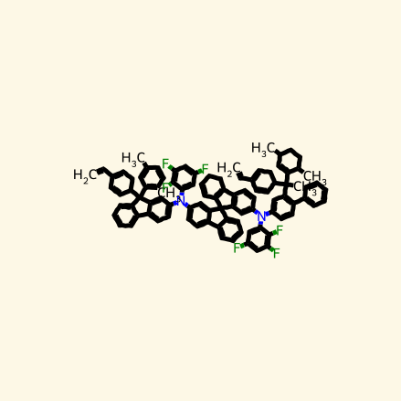 C=CC1=CCC(C(C)(C2=CC(C)CCC2C)c2cc(N(c3ccc4c(c3)C3(C5=C4CCC=C5)c4ccccc4-c4ccc(N(c5ccc6c(c5)C(c5cc(C)ccc5C)(C5C=CC(C=C)=CC5)c5ccccc5-6)c5cc(F)cc(F)c5F)cc43)c3cc(F)cc(F)c3F)ccc2-c2ccccc2)C=C1